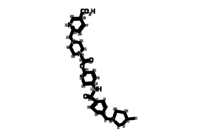 CC1CCN(Cc2ccc(C(=O)Nc3ccc(OC(=O)N4CCN(Cc5ccc(C(=O)O)cn5)CC4)nc3)cc2)CC1